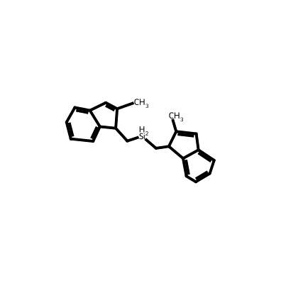 CC1=Cc2ccccc2C1C[SiH2]CC1C(C)=Cc2ccccc21